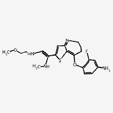 CN/C(=C\NCCOC)c1cc2c(s1)=C(Oc1ccc(N)cc1F)CCN=2